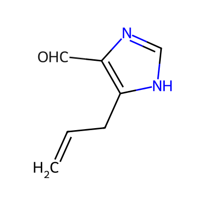 C=CCc1[nH]cnc1C=O